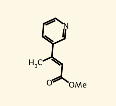 COC(=O)C=C(C)c1cccnc1